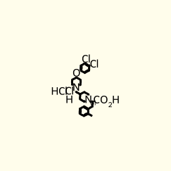 Cc1ccccc1C[C@H](C(=O)O)N1CCC(CN2CCC(Oc3ccc(Cl)c(Cl)c3)CC2)CC1.Cl.Cl